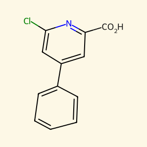 O=C(O)c1cc(-c2ccccc2)cc(Cl)n1